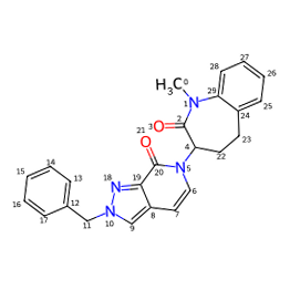 CN1C(=O)C(n2ccc3cn(Cc4ccccc4)nc3c2=O)CCc2ccccc21